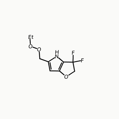 CCOOCc1cc2c([nH]1)C(F)(F)CO2